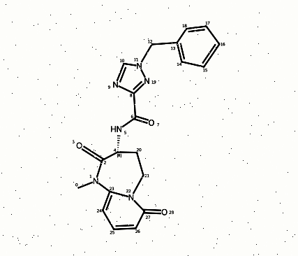 CN1C(=O)[C@H](NC(=O)c2ncn(Cc3ccccc3)n2)CCn2c1cccc2=O